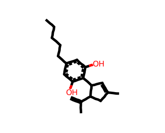 C=C(C)C1CC(C)=CC1c1c(O)cc(CCCCC)cc1O